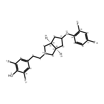 Oc1c(F)cc(CCN2C[C@H]3CC(Oc4ccc(F)cc4F)C[C@H]3C2)cc1F